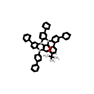 Cc1cc2c3c(c1)N(c1ccc(-c4ccccc4)cc1-c1ccc(C(C)(C)C)cc1)c1cc(-c4ccccc4)ccc1B3c1cc(-c3ccccc3)ccc1N2c1ccc(-c2ccccc2)cc1